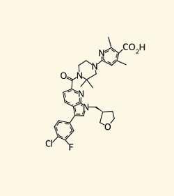 Cc1cc(N2CCN(C(=O)c3ccc4c(-c5ccc(Cl)c(F)c5)cn(C[C@H]5CCOC5)c4n3)C(C)(C)C2)nc(C)c1C(=O)O